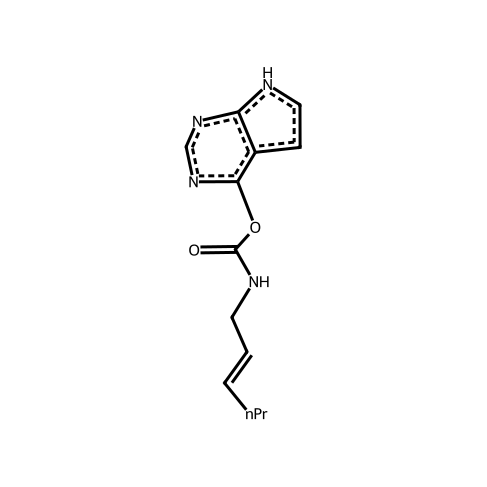 CCCC=CCNC(=O)Oc1ncnc2[nH]ccc12